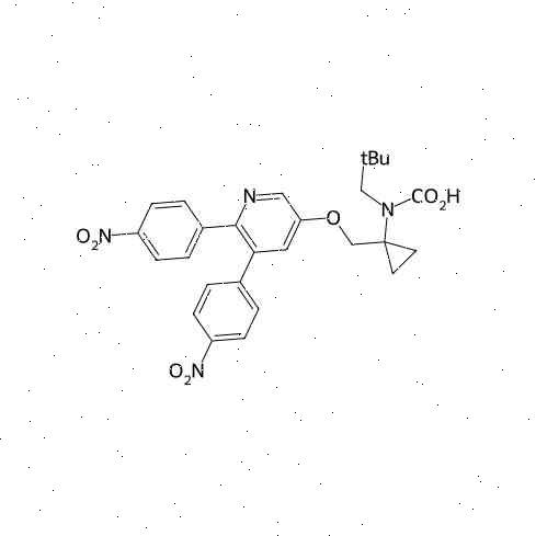 CC(C)(C)CN(C(=O)O)C1(COc2cnc(-c3ccc([N+](=O)[O-])cc3)c(-c3ccc([N+](=O)[O-])cc3)c2)CC1